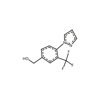 OCc1ccc(-n2cccn2)c(C(F)(F)F)c1